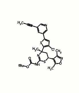 CC#Cc1cncc(-c2cc(Cl)c([C@]3(C)C[C@@H](c4c(C)noc4C)SC(NC(=O)OC(C)(C)C)=N3)s2)c1